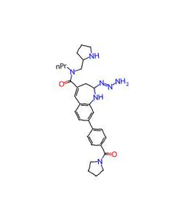 CCCN(CC1CCCN1)C(=O)C1=Cc2ccc(-c3ccc(C(=O)N4CCCC4)cc3)cc2NC(N=NN)C1